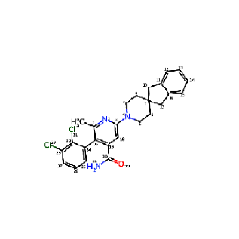 Cc1nc(N2CCC3(CC2)Cc2ccccc2C3)cc(C(N)=O)c1-c1cccc(Cl)c1Cl